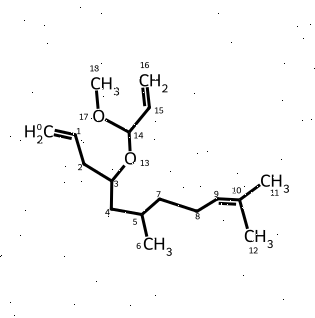 C=CCC(CC(C)CCC=C(C)C)OC(C=C)OC